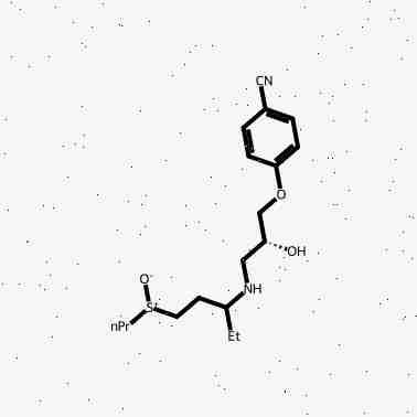 CCC[S+]([O-])CCC(CC)NC[C@@H](O)COc1ccc(C#N)cc1